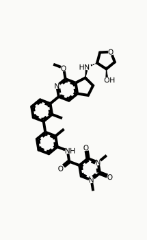 COc1nc(-c2cccc(-c3cccc(NC(=O)c4cn(C)c(=O)n(C)c4=O)c3C)c2C)cc2c1[C@@H](N[C@@H]1COC[C@H]1O)CC2